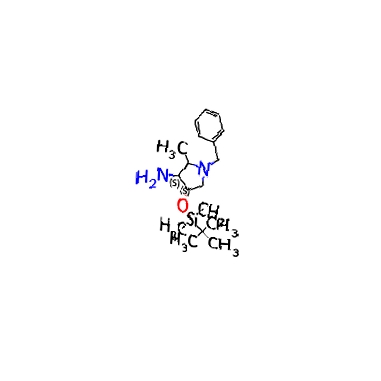 CC1[C@H](N)[C@@H](O[Si](C)(C)C(C)(C)C)CN1Cc1ccccc1